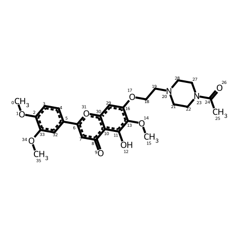 COc1ccc(-c2cc(=O)c3c(O)c(OC)c(OCCN4CCN(C(C)=O)CC4)cc3o2)cc1OC